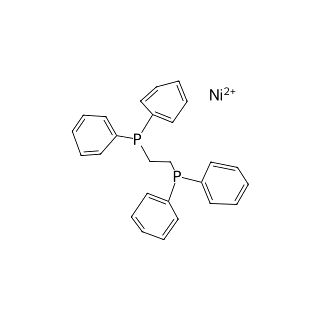 [Ni+2].c1ccc(P(CCP(c2ccccc2)c2ccccc2)c2ccccc2)cc1